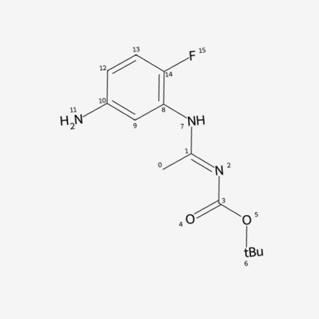 C/C(=N\C(=O)OC(C)(C)C)Nc1cc(N)ccc1F